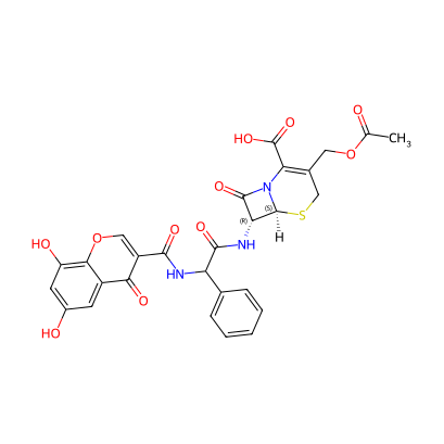 CC(=O)OCC1=C(C(=O)O)N2C(=O)[C@@H](NC(=O)C(NC(=O)c3coc4c(O)cc(O)cc4c3=O)c3ccccc3)[C@@H]2SC1